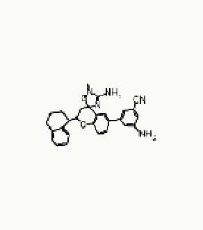 CN1OC2(CC(C3CCCc4ccccc43)Oc3ccc(-c4cc(N)cc(C#N)c4)cc32)N=C1N